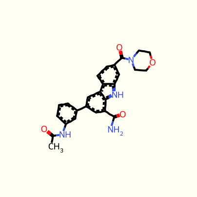 CC(=O)Nc1cccc(-c2cc(C(N)=O)c3[nH]c4cc(C(=O)N5CCOCC5)ccc4c3c2)c1